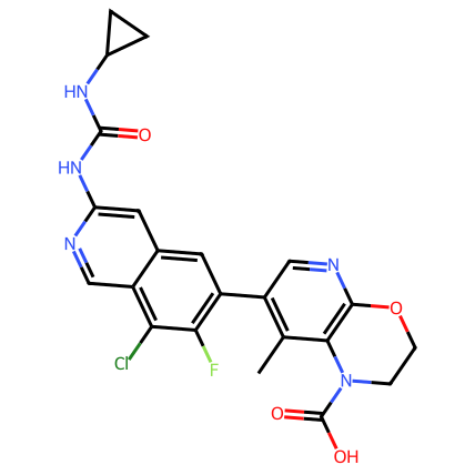 Cc1c(-c2cc3cc(NC(=O)NC4CC4)ncc3c(Cl)c2F)cnc2c1N(C(=O)O)CCO2